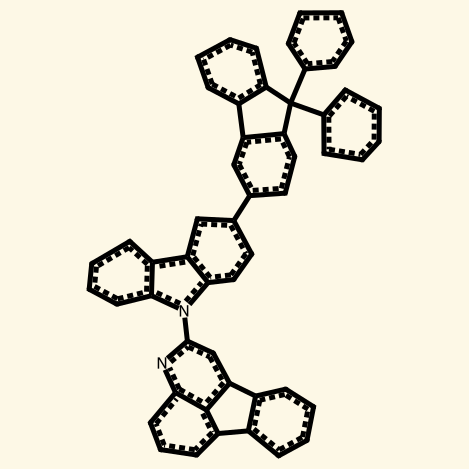 c1ccc(C2(c3ccccc3)c3ccccc3-c3cc(-c4ccc5c(c4)c4ccccc4n5-c4cc5c6c(cccc6n4)-c4ccccc4-5)ccc32)cc1